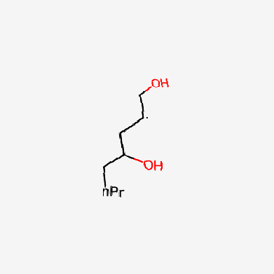 CCCCC(O)C[CH]CO